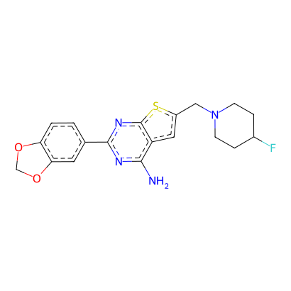 Nc1nc(-c2ccc3c(c2)OCO3)nc2sc(CN3CCC(F)CC3)cc12